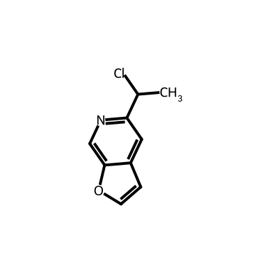 CC(Cl)c1cc2ccoc2cn1